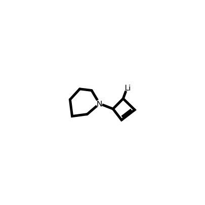 [Li][CH]1C=CC1N1CCCCC1